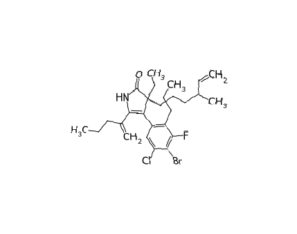 C=CC(C)CCCC1(CC)C(=O)NC(C(=C)CCC)=C1c1cc(Cl)c(Br)c(F)c1CCC